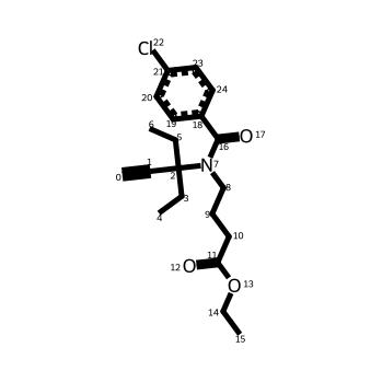 C#CC(CC)(CC)N(CCCC(=O)OCC)C(=O)c1ccc(Cl)cc1